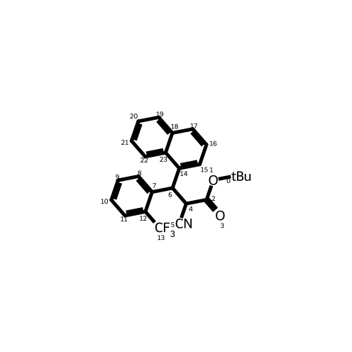 CC(C)(C)OC(=O)C(C#N)C(c1ccccc1C(F)(F)F)c1cccc2ccccc12